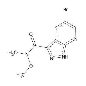 CON(C)C(=O)c1n[nH]c2ncc(Br)cc12